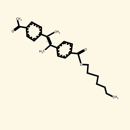 CCCCCCCOC(=O)c1ccc(/C(C)=C(\C)c2ccc(C(C)=O)cc2)cc1